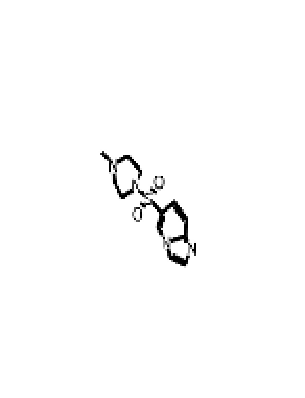 CN1CCN(S(=O)(=O)c2ccc3nccn3c2)CC1